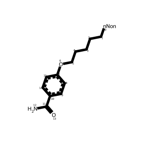 CCCCCCCCCCCCCCOc1ccc(C(N)=O)cc1